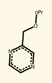 CCCOCc1cnccn1